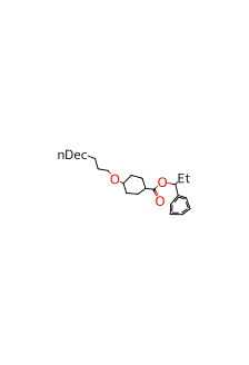 CCCCCCCCCCCCCOC1CCC(C(=O)OC(CC)c2ccccc2)CC1